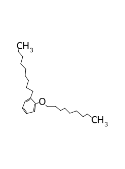 CCCCCCCCCOc1ccccc1CCCCCCCCC